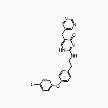 O=c1nc(NCCc2ccc(Oc3ccc(Cl)cc3)cc2)[nH]cc1Cc1cncnc1